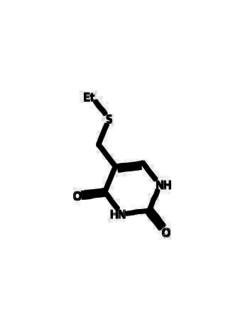 CCSCc1c[nH]c(=O)[nH]c1=O